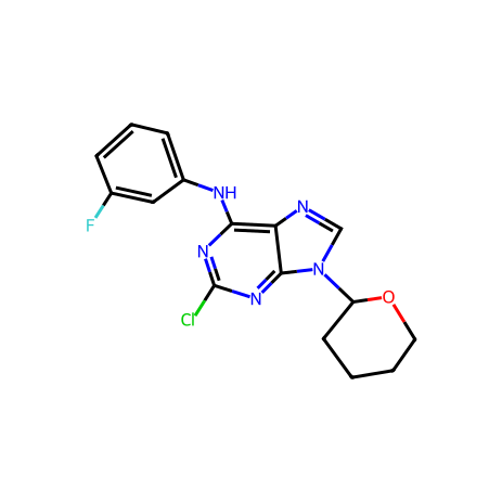 Fc1cccc(Nc2nc(Cl)nc3c2ncn3C2CCCCO2)c1